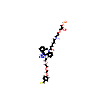 O=POCC(O)COCCCNC(=O)CCCCC(=O)N1Cc2ccccc2C2=C(c3ccccc31)N(CCOCCOCCOc1ccc(CS)cc1)NN2